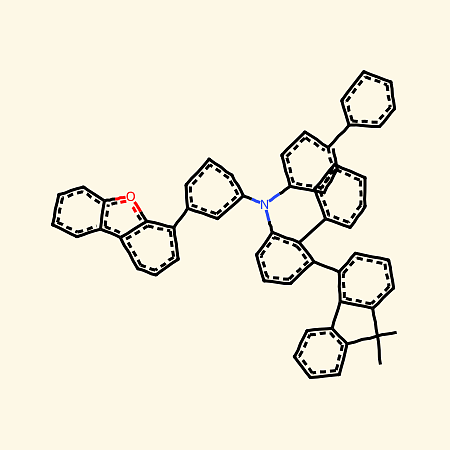 CC1(C)c2ccccc2-c2c(-c3cccc(N(c4ccc(-c5ccccc5)cc4)c4cccc(-c5cccc6c5oc5ccccc56)c4)c3-c3ccccc3)cccc21